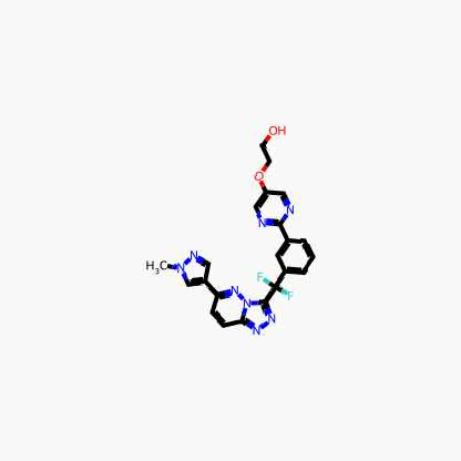 Cn1cc(-c2ccc3nnc(C(F)(F)c4cccc(-c5ncc(OCCO)cn5)c4)n3n2)cn1